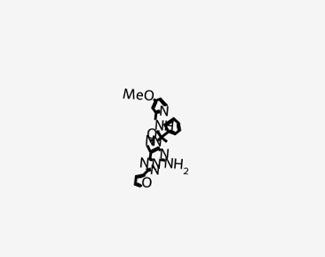 COc1ccnc(CNC(=O)C(C)(c2ccccc2)n2ncc3c2nc(N)n2nc(-c4ccco4)nc32)c1